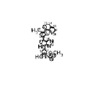 COS(=O)(=O)N[C@@H]1C[C@@H](Nc2ncncc2C(=O)c2cc([C@H]3OCCc4cccnc43)c(C)s2)C[C@@H]1O